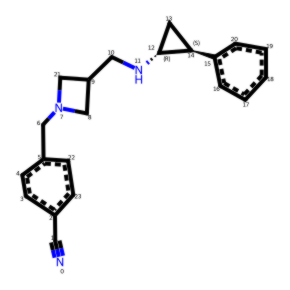 N#Cc1ccc(CN2CC(CN[C@@H]3C[C@H]3c3ccccc3)C2)cc1